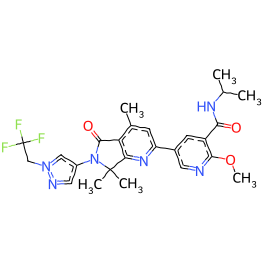 COc1ncc(-c2cc(C)c3c(n2)C(C)(C)N(c2cnn(CC(F)(F)F)c2)C3=O)cc1C(=O)NC(C)C